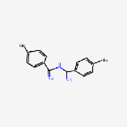 CC(C)(C)c1ccc(C(=N)NC(N)c2ccc(C(C)(C)C)cc2)cc1